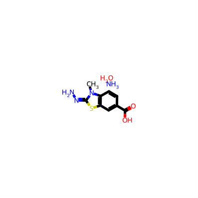 Cn1c(=NN)sc2cc(C(=O)O)ccc21.N.O